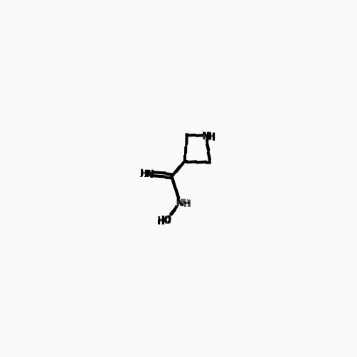 N=C(NO)C1CNC1